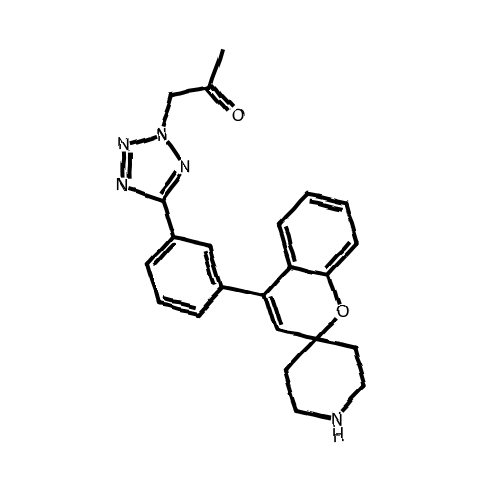 CC(=O)Cn1nnc(-c2cccc(C3=CC4(CCNCC4)Oc4ccccc43)c2)n1